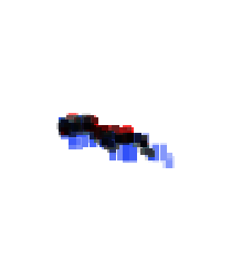 CN(CCCN)CCCNC(=O)CCNC(=O)c1nc(NC(=O)CCNC(=O)c2cc(NC(=O)c3nccn3C)cn2C)cn1C